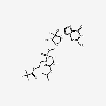 CC(C)OC(=O)[C@@H](C)N[P@](=O)(OCCSC(=O)C(C)(C)C)OC[C@H]1O[C@@H](n2cnc3c(=O)[nH]c(N)nc32)[C@](F)(Cl)[C@@H]1O